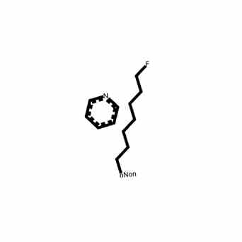 CCCCCCCCCCCCCCCCF.c1ccncc1